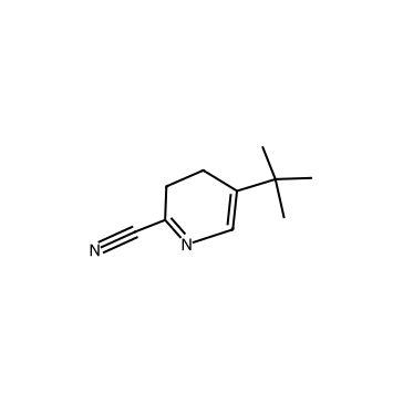 CC(C)(C)C1=CN=C(C#N)CC1